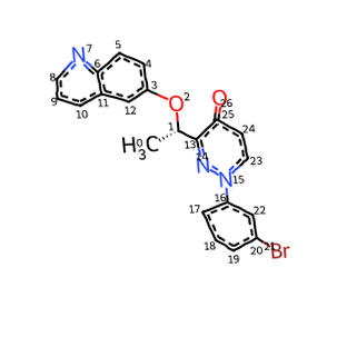 C[C@H](Oc1ccc2ncccc2c1)c1nn(-c2cccc(Br)c2)ccc1=O